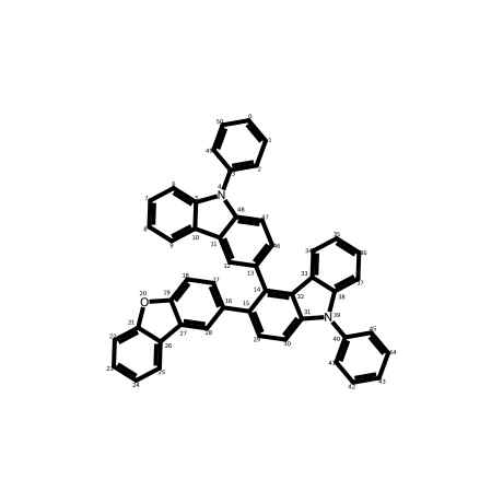 c1ccc(-n2c3ccccc3c3cc(-c4c(-c5ccc6oc7ccccc7c6c5)ccc5c4c4ccccc4n5-c4ccccc4)ccc32)cc1